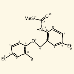 CCc1ccc(OCc2cc(CC)ccc2NC(=O)SC)c(C)c1